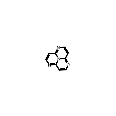 C1=CC2=NC=CC3=NC=CC(=N1)N23